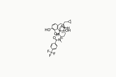 CN(C(=O)c1ccc(C(F)(F)F)cc1)[C@@H]1CC[C@@]2(O)[C@H]3CCc4ccc(O)c5c4[C@@]2(CCN3CC2CC2)[C@H]1O5